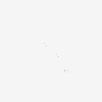 O=CCN1CCN(C2CC2)CC1